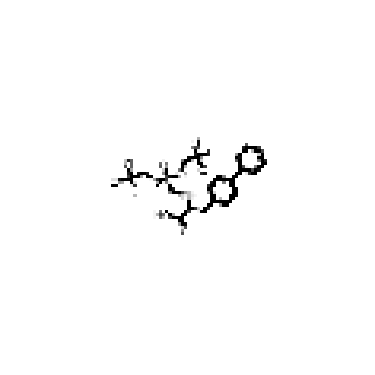 O=C(O)[C@H](Cc1ccc(-c2ccccc2)cc1)NCP(=O)(OCC(Cl)(Cl)Cl)OCC(Cl)(Cl)Cl